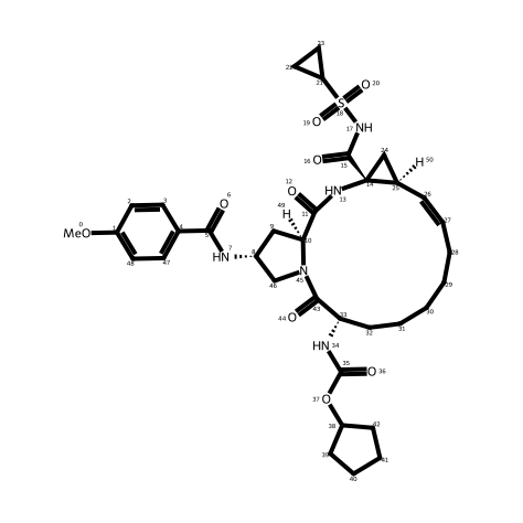 COc1ccc(C(=O)N[C@@H]2C[C@H]3C(=O)N[C@]4(C(=O)NS(=O)(=O)C5CC5)C[C@H]4/C=C\CCCCC[C@H](NC(=O)OC4CCCC4)C(=O)N3C2)cc1